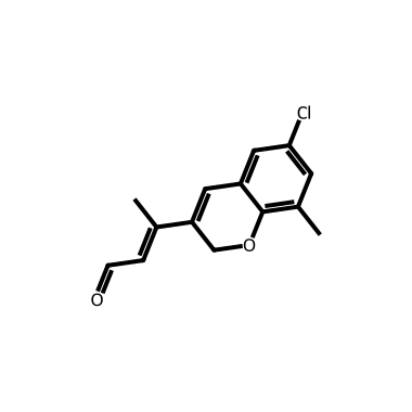 CC(=CC=O)C1=Cc2cc(Cl)cc(C)c2OC1